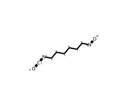 O=C=NCCCCCCN=O